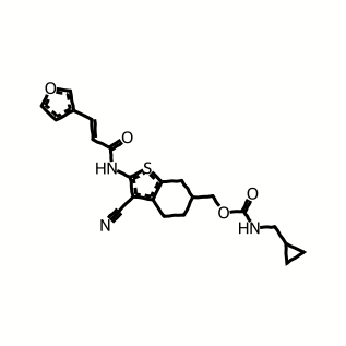 N#Cc1c(NC(=O)C=Cc2ccoc2)sc2c1CCC(COC(=O)NCC1CC1)C2